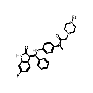 CCN1CCN(CC(=O)N(C)c2ccc(N/C(=C3\C(=O)Nc4cc(F)ccc43)c3ccccc3)cc2)CC1